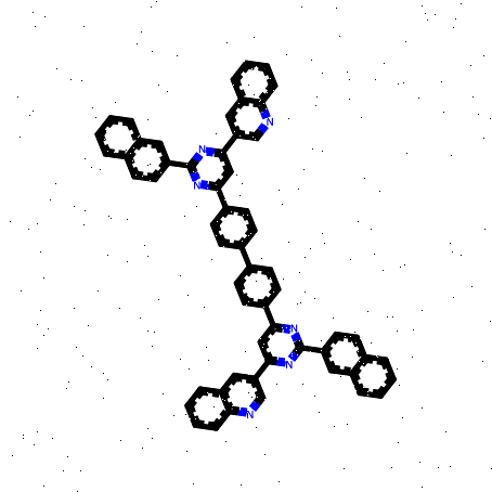 c1ccc2cc(-c3nc(-c4ccc(-c5ccc(-c6cc(-c7cnc8ccccc8c7)nc(-c7ccc8ccccc8c7)n6)cc5)cc4)cc(-c4cnc5ccccc5c4)n3)ccc2c1